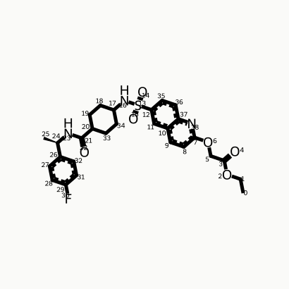 CCOC(=O)COc1ccc2cc(S(=O)(=O)NC3CCC(C(=O)N[C@H](C)c4ccc(F)cc4)CC3)ccc2n1